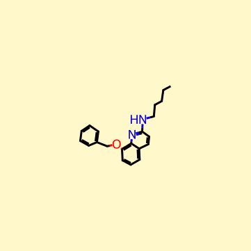 CCCCCNc1ccc2cccc(OCc3ccccc3)c2n1